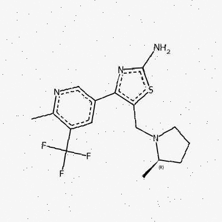 Cc1ncc(-c2nc(N)sc2CN2CCC[C@H]2C)cc1C(F)(F)F